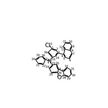 Clc1cc(-c2cccc3ccccc23)cc(N(c2ccccc2)c2ccc3oc4ccccc4c3c2)c1